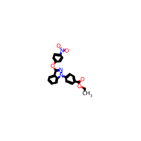 CCOC(=O)c1ccc(-n2nc(Oc3ccc([N+](=O)[O-])cc3)c3ccccc32)cc1